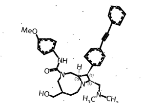 COc1ccc(NC(=O)N2CC(CO)CCN3[C@H](CN(C)C)[C@H](c4ccc(C#Cc5ccccc5)cc4)[C@@H]3C2)cc1